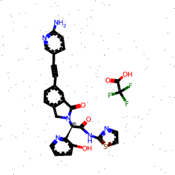 Nc1ccc(C#Cc2ccc3c(c2)C(=O)N([C@@H](C(=O)Nc2nccs2)c2ncccc2O)C3)cn1.O=C(O)C(F)(F)F